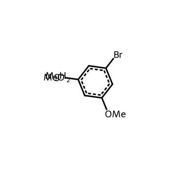 COc1cc(Br)cc(OC)c1.[MgH2]